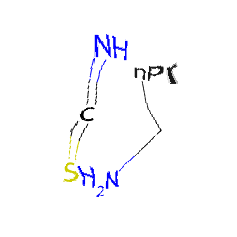 CCCCN.N=C=S